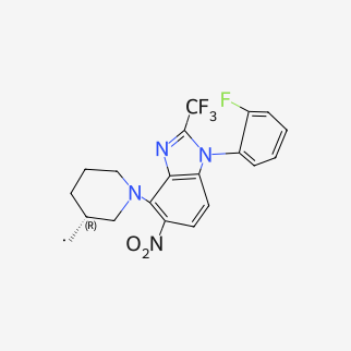 [CH2][C@@H]1CCCN(c2c([N+](=O)[O-])ccc3c2nc(C(F)(F)F)n3-c2ccccc2F)C1